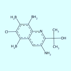 Bc1c(Cl)c(B)c2cc(N)c(C(C)(C)O)nc2c1B